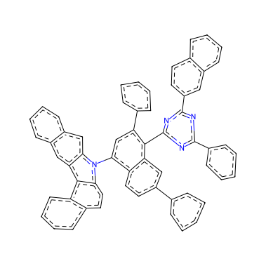 c1ccc(-c2ccc3c(-n4c5cc6ccccc6cc5c5c6ccccc6ccc54)cc(-c4ccccc4)c(-c4nc(-c5ccccc5)nc(-c5ccc6ccccc6c5)n4)c3c2)cc1